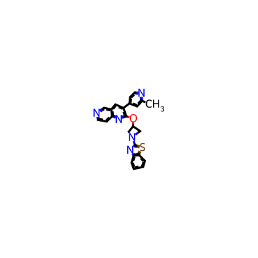 Cc1cc(-c2cc3cnccc3nc2OC2CN(c3nc4ccccc4s3)C2)ccn1